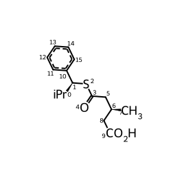 CC(C)[C@H](SC(=O)C[C@@H](C)CC(=O)O)c1ccccc1